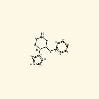 c1ccc(CC2CNCCN2c2ccno2)cc1